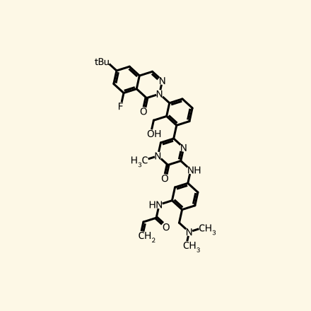 C=CC(=O)Nc1cc(Nc2nc(-c3cccc(-n4ncc5cc(C(C)(C)C)cc(F)c5c4=O)c3CO)cn(C)c2=O)ccc1CN(C)C